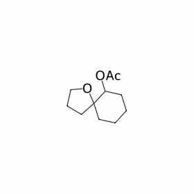 CC(=O)OC1CCCCC12CCCO2